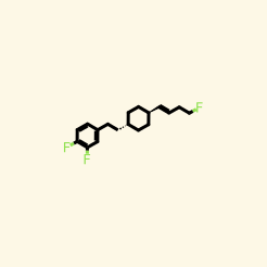 FCC/C=C/[C@H]1CC[C@H](CCc2ccc(F)c(F)c2)CC1